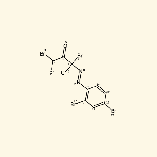 O=C(C(Br)Br)C(Cl)(Br)N=Nc1ccc(Br)cc1Br